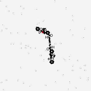 CN1/C(=C/C23OCCN2c2ccc(C(=O)NCCSSCCNC(=O)c4ccc5c(c4)C(C)(C)C4(/C=C6\Oc7ccccc7N6C)OCCN54)cc2C3(C)C)Oc2ccccc21